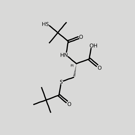 CC(C)(C)C(=O)SC[C@H](NC(=O)C(C)(C)S)C(=O)O